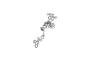 CC(C)(C)[Si](C)(C)O[C@@H](CNCc1ccc2c(c1)nnn2CCCN1CCC(OC(=O)Nc2ccsc2-c2ccccc2)CC1)c1ccc(O)c2c1OCC(=O)N2